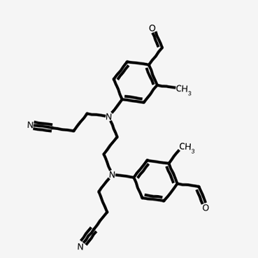 Cc1cc(N(CCC#N)CCN(CCC#N)c2ccc(C=O)c(C)c2)ccc1C=O